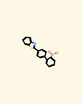 O=[N+]([O-])c1ccccc1-c1ccc(-c2nc3ccccc3s2)cc1